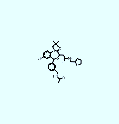 CC(=O)NCc1cccc(C2OC(CC(=O)NCC3CCCO3)C(=O)N(CC(C)(C)C)c3ccc(Cl)cc32)c1